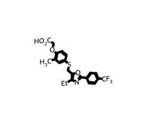 CCc1nc(-c2ccc(C(F)(F)F)cc2)oc1CSc1ccc(OCC(=O)O)c(C)c1